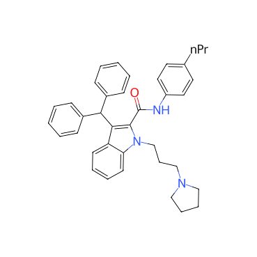 CCCc1ccc(NC(=O)c2c(C(c3ccccc3)c3ccccc3)c3ccccc3n2CCCN2CCCC2)cc1